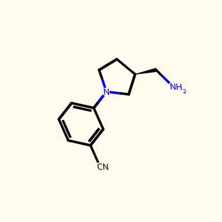 N#Cc1cccc(N2CC[C@@H](CN)C2)c1